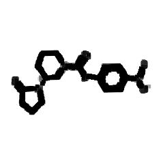 O=C(Oc1ccc([N+](=O)[O-])cc1)N1CCC[C@@H](N2CCCC2=O)C1